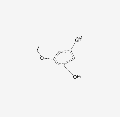 Oc1cc(O)cc(OI)c1